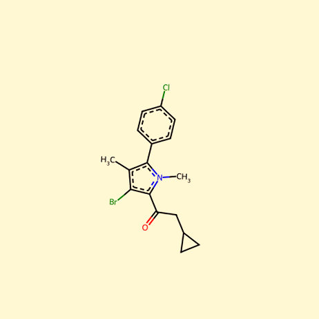 Cc1c(Br)c(C(=O)CC2CC2)n(C)c1-c1ccc(Cl)cc1